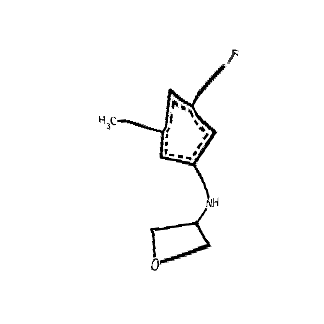 Cc1cc(F)cc(NC2COC2)c1